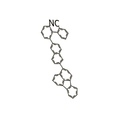 N#Cc1ccccc1-c1ccccc1-c1ccc2cc(-c3ccc4c5c(cccc35)-c3ccccc3-4)ccc2c1